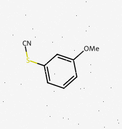 COc1cccc(SC#N)c1